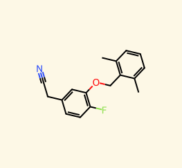 Cc1cccc(C)c1COc1cc(CC#N)ccc1F